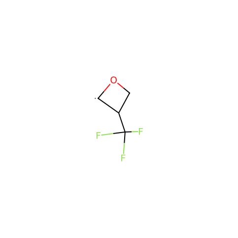 FC(F)(F)C1[CH]OC1